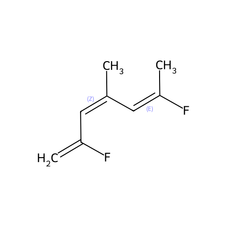 C=C(F)/C=C(C)\C=C(/C)F